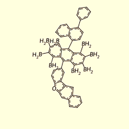 Bc1c(B)c(B)c2c(-c3ccc(-c4ccccc4)c4ccccc34)c3c(B)c(B)c(B)c(B)c3c(-c3ccc4oc5cc6ccccc6cc5c4c3)c2c1B